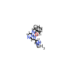 C[C@@H]1CN(c2ccnc3cc(-c4cnn(C)c4)nn23)C(=O)[C@]1(C#N)C1CC1